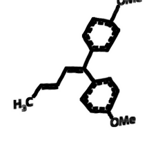 CC=CC=C(c1ccc(OC)cc1)c1ccc(OC)cc1